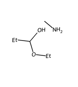 CCOC(O)CC.CN